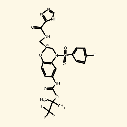 CC(C)(OC(=O)Nc1ccc2c(c1)N(S(=O)(=O)c1ccc(F)cc1)C[C@H](CNC(=O)c1nnc[nH]1)O2)C(F)(F)F